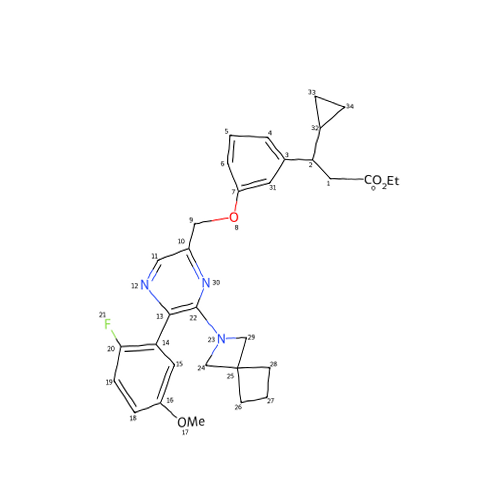 CCOC(=O)CC(c1cccc(OCc2cnc(-c3cc(OC)ccc3F)c(N3CC4(CCC4)C3)n2)c1)C1CC1